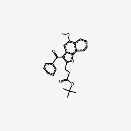 COc1cc2c(C(=O)c3ccccc3)c(CCC(=O)OC(C)(C)C)oc2c2ccccc12